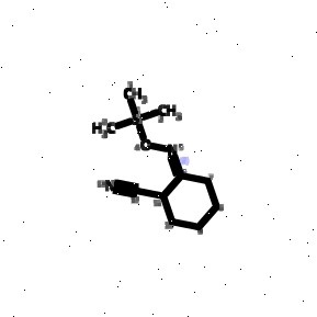 C[Si](C)(C)O/N=C1/CCCCC1C#N